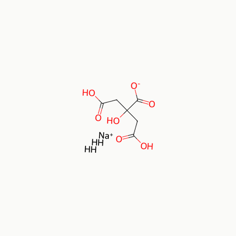 O=C(O)CC(O)(CC(=O)O)C(=O)[O-].[HH].[HH].[Na+]